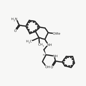 COC1Cc2ccc(C(N)=O)cc2C(C)(C)C1NC[C@H](CO)NC(=O)c1ccccc1